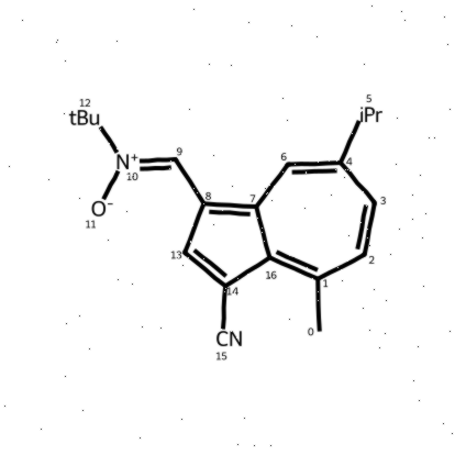 Cc1ccc(C(C)C)cc2c(C=[N+]([O-])C(C)(C)C)cc(C#N)c1-2